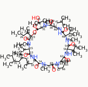 CC[C@H](C)C[C@H](C)C[C@H](C)C[C@@H]1NC(=O)C(C(C)C)N(C)C(=O)[C@@H]([C@H](C)CC)OC(=O)[C@H](C(C)(C)O)N(C)C(=O)[C@H](CC(C)C)NC(=O)C(C(C)C)N(C)C(=O)C([C@H](C)CC)NC(=O)[C@@H]2CCCN2C(=O)CN(C)C1=O